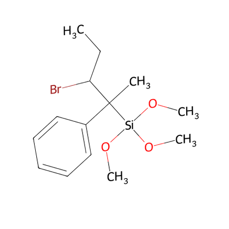 CCC(Br)C(C)(c1ccccc1)[Si](OC)(OC)OC